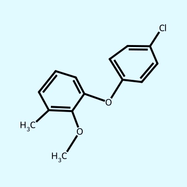 COc1c(C)cccc1Oc1ccc(Cl)cc1